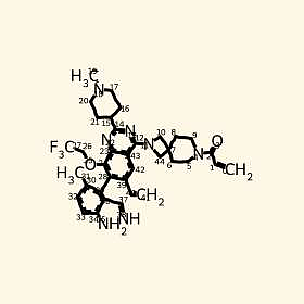 C=CC(=O)N1CCC2(CC1)CN(c1nc(C3CCN(C)CC3)nc3c(OCC(F)(F)F)c(-c4c(C)ccc(N)c4C=N)c(C=C)cc13)C2